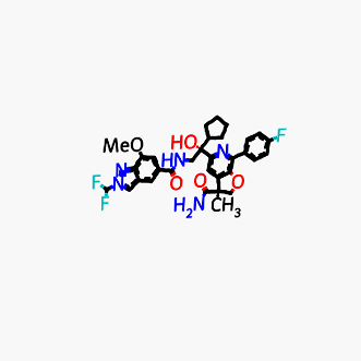 COc1cc(C(=O)NC[C@](O)(c2cc3c(c(-c4ccc(F)cc4)n2)OC[C@]3(C)C(N)=O)C2CCCC2)cc2cn(C(F)F)nc12